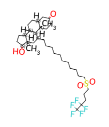 C[C@]12CCC(=O)C[C@@H]1CC[C@@H]1[C@@H]2[C@@H](CCCCCCCCCCCS(=O)(=O)CCCC(F)(F)C(F)(F)F)C[C@]2(C)[C@@H](O)CC[C@@H]12